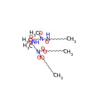 CCCCCCCCCCCCNC(=O)CCN(CCCCC(NC(=O)C(C)CCCCN(CCC(=O)OCCCCCCCCCCCC)CCC(=O)OCCCCCCCCCCCC)C(C)=O)CCC(C)=O